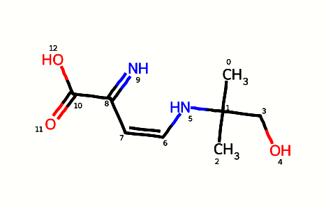 CC(C)(CO)N/C=C\C(=N)C(=O)O